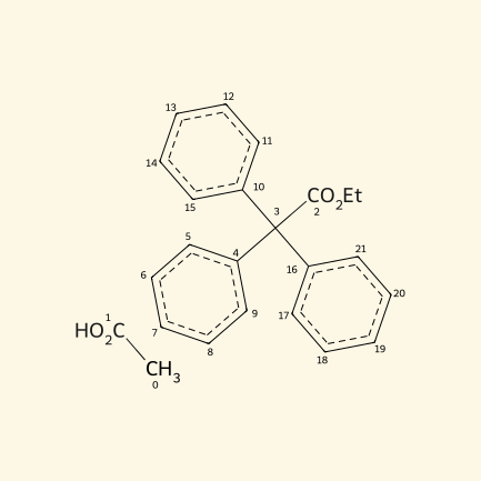 CC(=O)O.CCOC(=O)C(c1ccccc1)(c1ccccc1)c1ccccc1